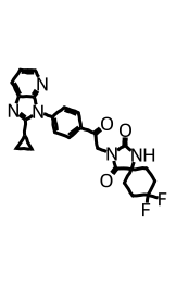 O=C(CN1C(=O)NC2(CCC(F)(F)CC2)C1=O)c1ccc(-n2c(C3CC3)nc3cccnc32)cc1